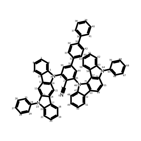 N#Cc1c(-n2c3ccccc3c3cc4c(cc32)c2ccccc2n4-c2ccccc2)cc(-c2ccc(-c3ccccc3)cc2)cc1-n1c2ccccc2c2ccc3c(c4ccccc4n3-c3ccccc3)c21